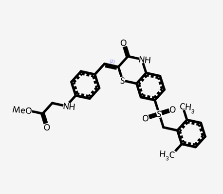 COC(=O)CNc1ccc(/C=C2\Sc3cc(S(=O)(=O)Cc4c(C)cccc4C)ccc3NC2=O)cc1